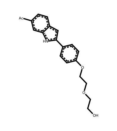 CC(=O)c1ccc2cc(-c3ccc(OCCOCCO)cc3)[nH]c2c1